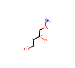 NOC[C@H](O)CCO